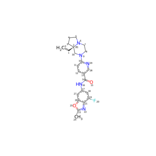 C=C[C@@]12CCCN1CCN(c1ccc(C(=O)Nc3cc(F)c4nc(C)oc4c3)cn1)C2